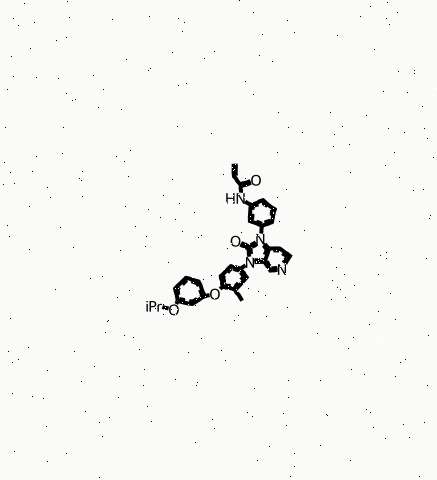 C=CC(=O)Nc1cccc(-n2c(=O)n(-c3ccc(Oc4cccc(OC(C)C)c4)c(C)c3)c3cnccc32)c1